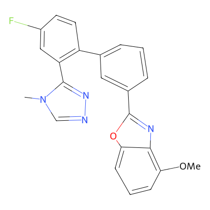 COc1cccc2oc(-c3cccc(-c4ccc(F)cc4-c4nncn4C)c3)nc12